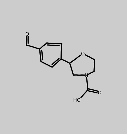 O=Cc1ccc(C2CN(C(=O)O)CCO2)cc1